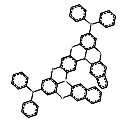 c1ccc(N(c2ccccc2)c2cc3c4c(c2)Sc2cc5c(cc2B4c2cc4ccccc4cc2O3)B2c3cc4ccccc4cc3Oc3cc(N(c4ccccc4)c4ccccc4)cc(c32)S5)cc1